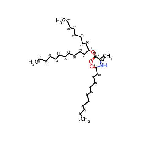 CCCCCCCCCCCC(=O)NC(C)C(=O)OC(CCCCCCCC)CCCCCCCCCCC